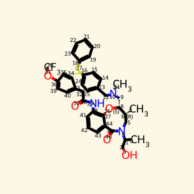 CC(CO)N1C[C@@H](C)[C@@H](CN(C)Cc2ccc(Sc3ccccc3)cc2)Oc2c(NC(=O)Cc3ccc(OC(F)(F)F)cc3)cccc2C1=O